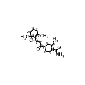 CC1=C(/C=C/C(=O)N2CCN(C(N)=O)[C@H](C)C2)C(C)(C)CCC1